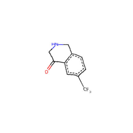 O=C1CNCc2ccc(C(F)(F)F)cc21